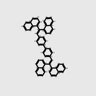 C(=C(c1cccc2ccccc12)c1cccc2ccccc12)c1ccc(-c2ccc(C=C(c3cccc4ccccc34)c3cccc4ccccc34)cc2)cc1